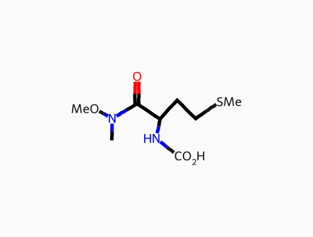 CON(C)C(=O)C(CCSC)NC(=O)O